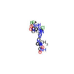 Cn1nc(C2CCC(=O)NC2=O)c2cccc(N3CCC(N4CCN(c5ncc(Cl)c(Nc6ccc7c(c6)c6c(c(=O)n7C)OCC(F)(F)C(C7CC7)N6)n5)CC4)CC3)c21